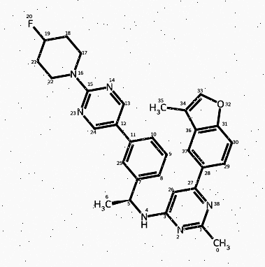 Cc1nc(N[C@@H](C)c2cccc(-c3cnc(N4CCC(F)CC4)nc3)c2)cc(-c2ccc3occ(C)c3c2)n1